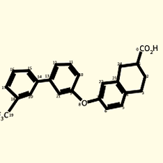 O=C(O)C1CCc2ccc(Oc3cccc(-c4cccc(C(F)(F)F)c4)c3)cc2C1